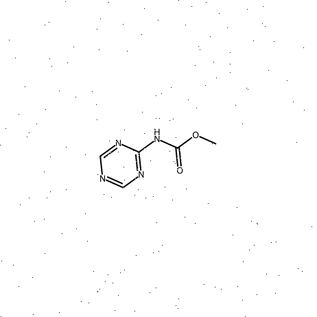 COC(=O)Nc1ncncn1